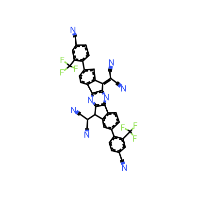 N#CC(C#N)=C1c2cc(-c3ccc(C#N)cc3C(F)(F)F)ccc2-c2nc3c(nc21)-c1ccc(-c2ccc(C#N)cc2C(F)(F)F)cc1C3C(C#N)C#N